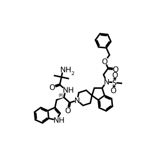 CC(C)(N)C(=O)N[C@H](Cc1c[nH]c2ccccc12)C(=O)N1CCC2(CC1)CC(N(CC(=O)OCc1ccccc1)S(C)(=O)=O)c1ccccc12